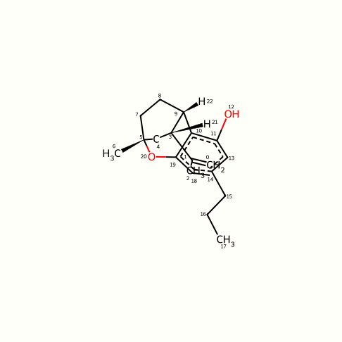 C=C(C)[C@@H]1C[C@@]2(C)CC[C@@H]1c1c(O)cc(CCC)cc1O2